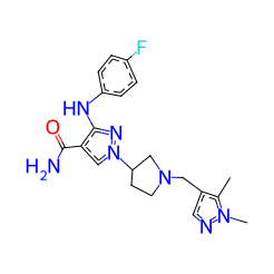 Cc1c(CN2CCC(n3cc(C(N)=O)c(Nc4ccc(F)cc4)n3)C2)cnn1C